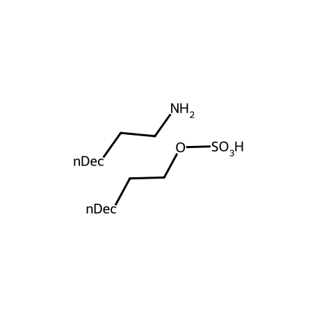 CCCCCCCCCCCCN.CCCCCCCCCCCCOS(=O)(=O)O